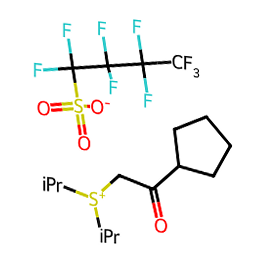 CC(C)[S+](CC(=O)C1CCCC1)C(C)C.O=S(=O)([O-])C(F)(F)C(F)(F)C(F)(F)C(F)(F)F